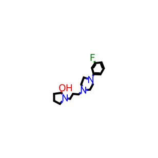 OC1CCCN1CCCN1CCN(c2cccc(F)c2)CC1